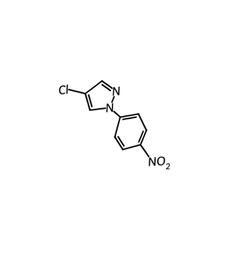 O=[N+]([O-])c1ccc(-n2cc(Cl)cn2)cc1